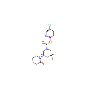 O=C(Oc1ccc(Cl)cn1)N1C[C@H](N2CCCCC2=O)CC(F)(F)C1